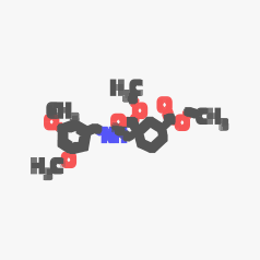 CCOC(=O)[C@H]1CCC[C@](CCNCc2cc(OC)cc(OC)c2)(C(=O)OCC)C1